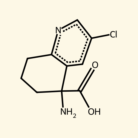 NC1(C(=O)O)CCCc2ncc(Cl)cc21